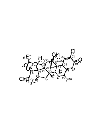 CCC(=O)O[C@]1(C(=O)CCl)C(C)C[C@H]2[C@@H]3CC(F)C4=CC(=O)C(Cl)=C[C@]4(C)[C@@]3(F)C(O)C[C@@]21C